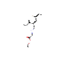 C=C(CC)/C(=C\C(Br)=C/C)CNCC(=O)OCC